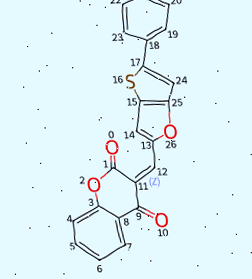 O=C1Oc2ccccc2C(=O)/C1=C/c1cc2sc(-c3ccccc3)cc2o1